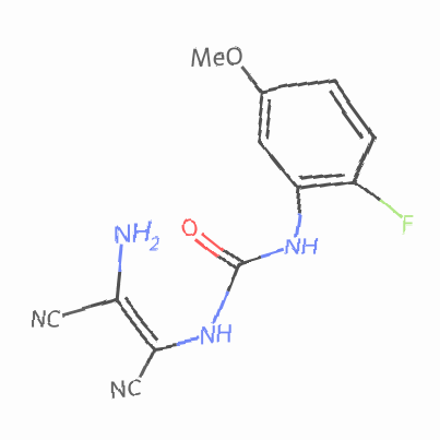 COc1ccc(F)c(NC(=O)NC(C#N)=C(N)C#N)c1